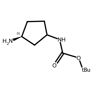 CC(C)(C)OC(=O)NC1CC[C@H](N)C1